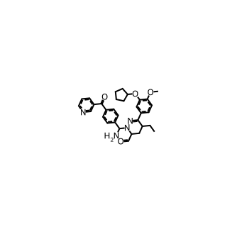 CCC1CC(C=O)N(C(N)c2ccc(C(=O)c3cccnc3)cc2)N=C1c1ccc(OC)c(OC2CCCC2)c1